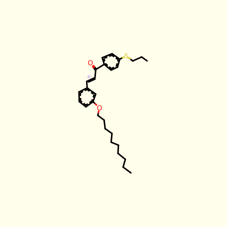 CCCCCCCCCCOc1cccc(/C=C/C(=O)c2ccc(SCCC)cc2)c1